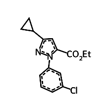 CCOC(=O)c1cc(C2CC2)nn1-c1cccc(Cl)c1